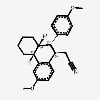 COc1ccc([C@H]2[C@H]3CCCC[C@H]3c3cc(OC)ccc3[C@@H]2CC#N)cc1